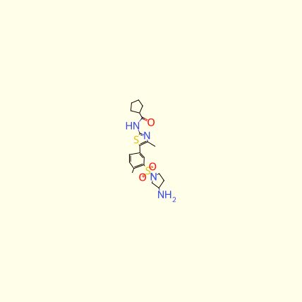 Cc1ccc(-c2sc(NC(=O)C3CCCC3)nc2C)cc1S(=O)(=O)N1CCC(N)C1